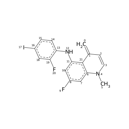 C=C1C=CN(C)c2cc(F)cc(Nc3ccc(I)cc3F)c21